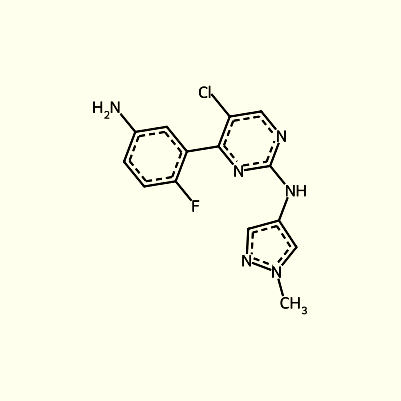 Cn1cc(Nc2ncc(Cl)c(-c3cc(N)ccc3F)n2)cn1